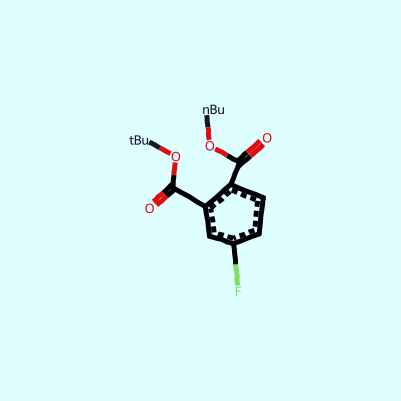 CCCCOC(=O)c1ccc(F)cc1C(=O)OC(C)(C)C